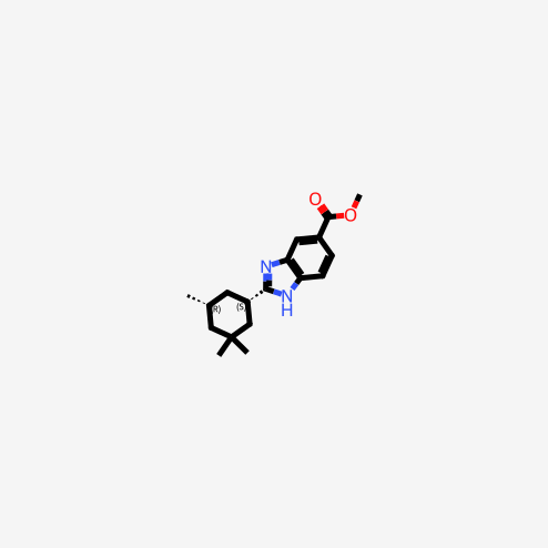 COC(=O)c1ccc2[nH]c([C@H]3C[C@@H](C)CC(C)(C)C3)nc2c1